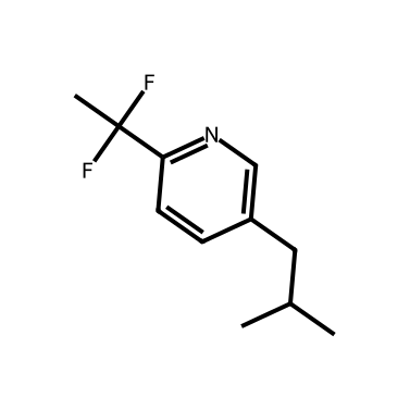 CC(C)Cc1ccc(C(C)(F)F)nc1